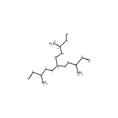 CCC(N)CCN(CCC(N)CC)CCC(N)CC